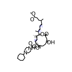 COC(=O)CCC(C)/C=C/C=C(\C)[C@H]1OC(=O)C[C@@H](O)CC[C@](C)(O)[C@@H](OC(=O)N2CCN(C3CCCCCC3)CC2)/C=C/[C@@H]1C